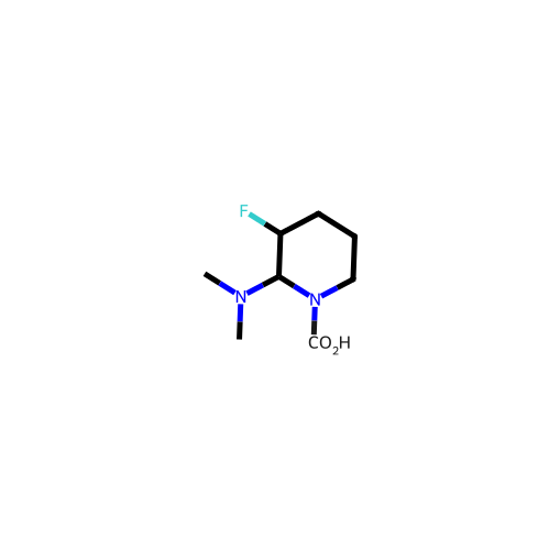 CN(C)C1C(F)CCCN1C(=O)O